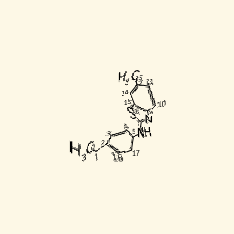 CCc1ccc(Nc2nc3ccc(C)cc3s2)cc1